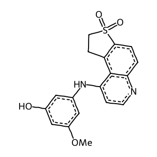 COc1cc(O)cc(Nc2ccnc3ccc4c(c23)CCS4(=O)=O)c1